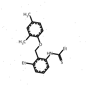 CCC(=S)Nc1cccc(CC)c1COc1ccc(C)cc1C